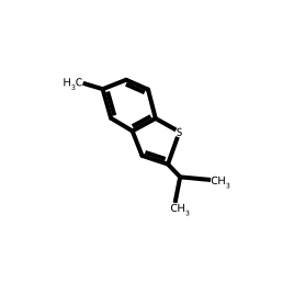 Cc1ccc2sc(C(C)C)cc2c1